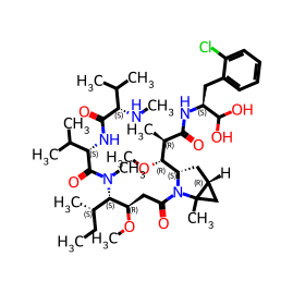 CC[C@H](C)[C@@H]([C@@H](CC(=O)N1[C@H]([C@H](OC)[C@@H](C)C(=O)N[C@@H](Cc2ccccc2Cl)C(O)O)C[C@@H]2CC21C)OC)N(C)C(=O)[C@@H](NC(=O)[C@@H](NC)C(C)C)C(C)C